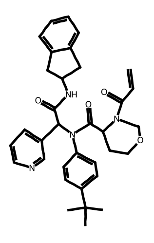 C=CC(=O)N1COCCC1C(=O)N(c1ccc(C(C)(C)C)cc1)C(C(=O)NC1Cc2ccccc2C1)c1cccnc1